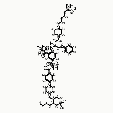 CCCCC1=C(CN2CCN(c3ccc(C(=O)NS(=O)(=O)c4ccc(N[C@H](CCN5CCN(CCCCCC(N)=O)CC5)CSc5ccccc5)c(S(=O)(=O)C(F)(F)F)c4)cc3)CC2)CCC(C)(C)C1